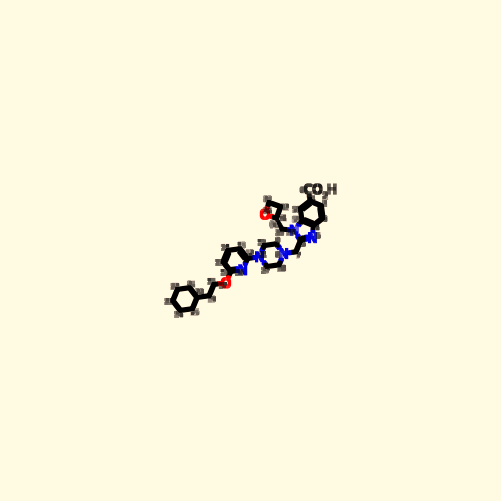 O=C(O)c1ccc2nc(CN3CCN(c4cccc(OCCC5CCCCC5)n4)CC3)n(C[C@@H]3CCO3)c2c1